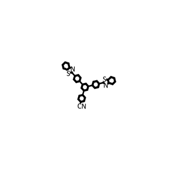 N#Cc1ccc(-c2cc(-c3ccc(-c4nc5ccccc5s4)cc3)cc(-c3ccc(-c4nc5ccccc5s4)cc3)c2)cc1